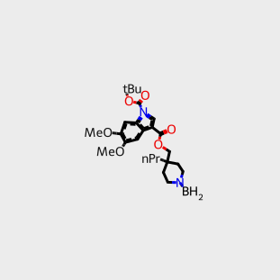 BN1CCC(CCC)(COC(=O)c2cn(C(=O)OC(C)(C)C)c3cc(OC)c(OC)cc23)CC1